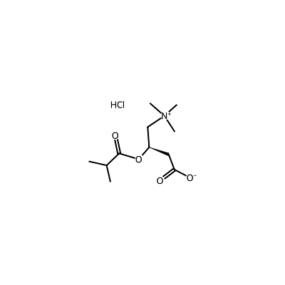 CC(C)C(=O)O[C@H](CC(=O)[O-])C[N+](C)(C)C.Cl